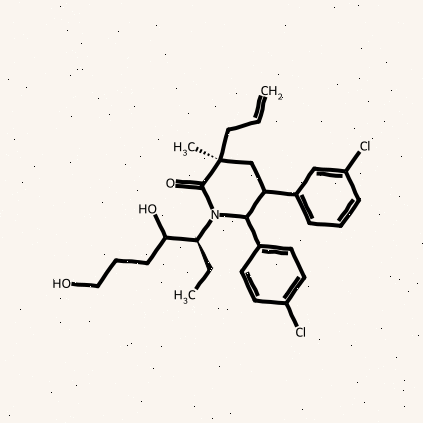 C=CC[C@@]1(C)CC(c2cccc(Cl)c2)C(c2ccc(Cl)cc2)N([C@@H](CC)C(O)CCCO)C1=O